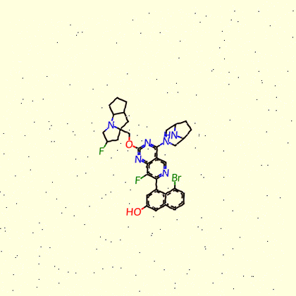 Oc1cc(-c2ncc3c(N4CC5CCC(C4)N5)nc(OCC45CC(F)CN4C4CCCC4C5)nc3c2F)c2c(Br)cccc2c1